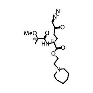 CO[C@H](C)C(=O)N[C@@H](CCC(=O)C=[N+]=[N-])C(=O)OCCN1CCCCCC1